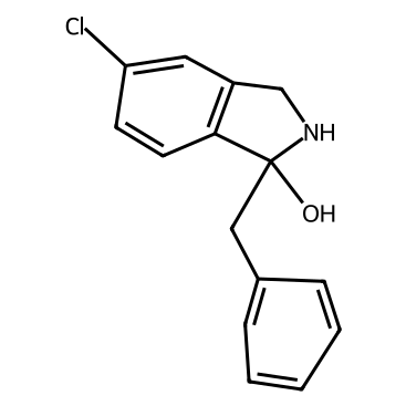 OC1(Cc2ccccc2)NCc2cc(Cl)ccc21